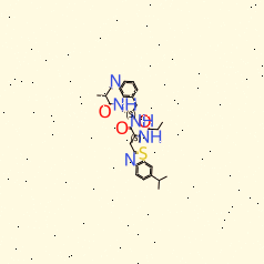 CCC(=O)N[C@@H](Cc1nc2ccc(C(C)C)cc2s1)C(=O)N[C@H](CNC(=O)C(C)C#N)Cc1ccccc1